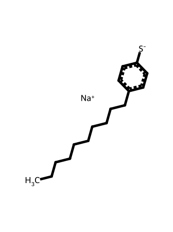 CCCCCCCCCCc1ccc([S-])cc1.[Na+]